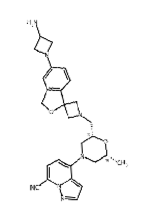 C[C@@H]1CN(c2ccc(C#N)n3nccc23)C[C@H](CN2CC3(C2)OCc2cc(N4CC(N)C4)ccc23)O1